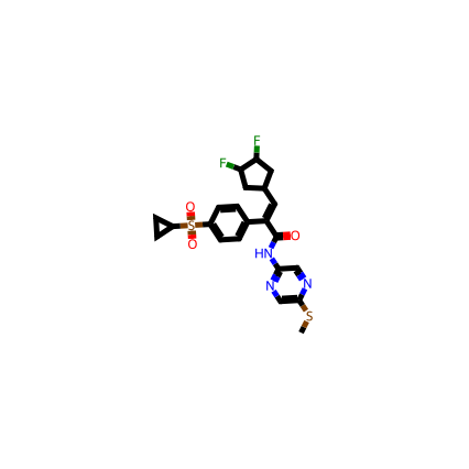 CSc1cnc(NC(=O)/C(=C/C2CC(F)C(F)C2)c2ccc(S(=O)(=O)C3CC3)cc2)cn1